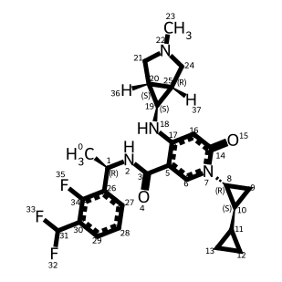 C[C@@H](NC(=O)c1cn([C@@H]2C[C@H]2C2CC2)c(=O)cc1N[C@H]1[C@@H]2CN(C)C[C@@H]21)c1cccc(C(F)F)c1F